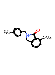 COc1cccc2c1C(=O)N(Cc1ccc(C#N)cc1)C2